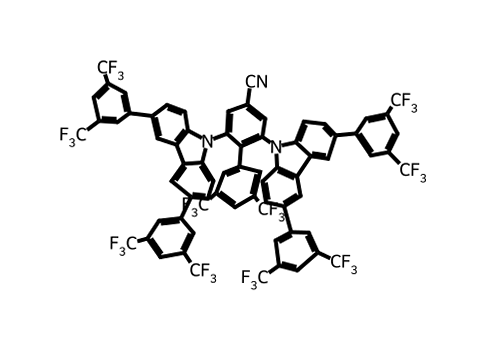 N#Cc1cc(-n2c3ccc(-c4cc(C(F)(F)F)cc(C(F)(F)F)c4)cc3c3cc(-c4cc(C(F)(F)F)cc(C(F)(F)F)c4)ccc32)c(-c2cc(C(F)(F)F)cc(C(F)(F)F)c2)c(-n2c3ccc(-c4cc(C(F)(F)F)cc(C(F)(F)F)c4)cc3c3cc(-c4cc(C(F)(F)F)cc(C(F)(F)F)c4)ccc32)c1